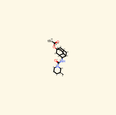 C[C@H]1CCCN(C(=O)NC2C3CC4CC2CC(OC(=O)C(C)(C)C)(C4)C3)C1